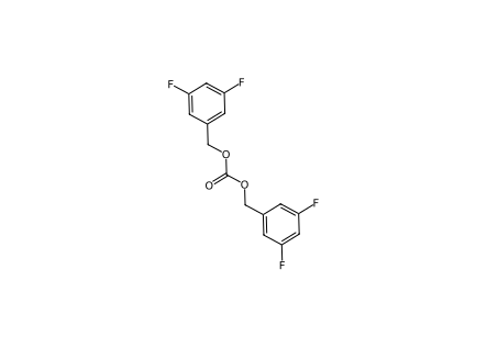 O=C(OCc1cc(F)cc(F)c1)OCc1cc(F)cc(F)c1